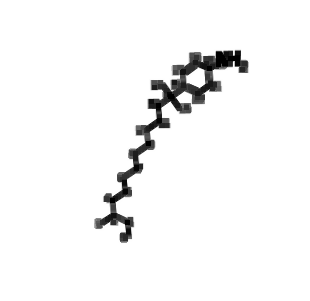 CCC(C)CCCCCCCCCC(C)(C)c1ccc(N)cc1